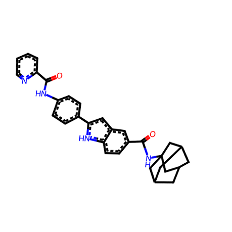 O=C(NC12CC3CC(CC(C3)C1)C2)c1ccc2[nH]c(-c3ccc(NC(=O)c4ccccn4)cc3)cc2c1